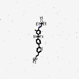 CCOOCCc1ccc(-c2ccc(C(CC)(CC)c3ccc(/C=C/C(O)(CC)CC)c(C)c3)cc2)nc1